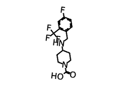 O=C(O)N1CCC(NCc2ccc(F)cc2C(F)(F)F)CC1